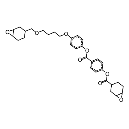 O=C(Oc1ccc(OCCCCOCC2CCC3OC3C2)cc1)c1ccc(OC(=O)C2CCC3OC3C2)cc1